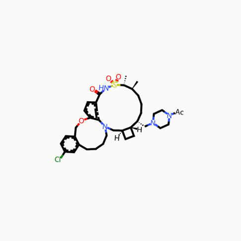 CC(=O)N1CCN(C[C@H]2CCC[C@H](C)[C@@H](C)S(=O)(=O)NC(=O)c3ccc4c(c3)N(CCCCc3cc(Cl)ccc3CO4)C[C@@H]3CC[C@@H]23)CC1